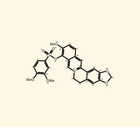 COc1ccc(S(=O)(=O)Oc2c(OC)ccc3cc4[n+](cc23)CCc2cc3c(cc2-4)OCO3)cc1OC